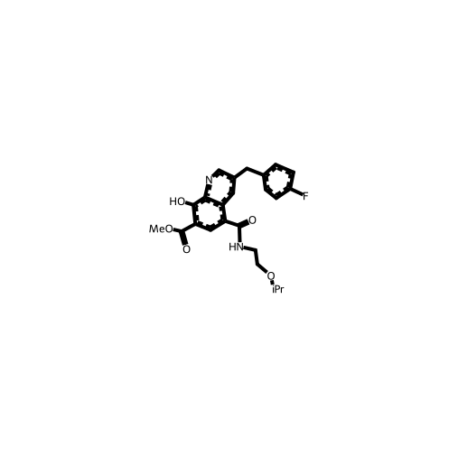 COC(=O)c1cc(C(=O)NCCOC(C)C)c2cc(Cc3ccc(F)cc3)cnc2c1O